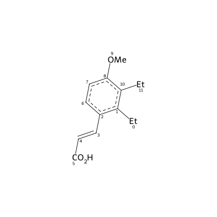 CCc1c(C=CC(=O)O)ccc(OC)c1CC